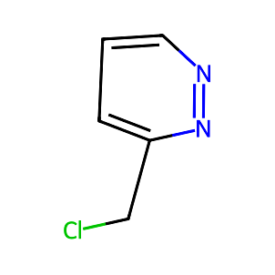 ClCc1cccnn1